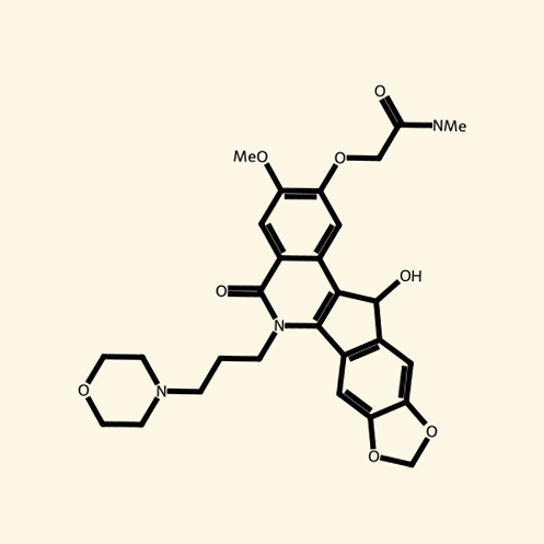 CNC(=O)COc1cc2c3c(n(CCCN4CCOCC4)c(=O)c2cc1OC)-c1cc2c(cc1C3O)OCO2